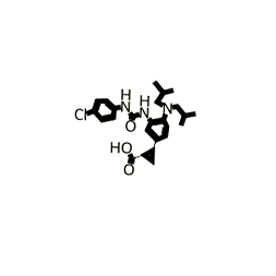 CC(C)CN(CC(C)C)c1ccc([C@@H]2C[C@@H]2C(=O)O)cc1NC(=O)Nc1ccc(Cl)cc1